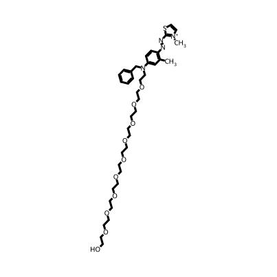 Cc1cc(N(CCOCCOCCOCCOCCOCCOCCOCCOCCOCCO)Cc2ccccc2)ccc1/N=N/c1scc[n+]1C